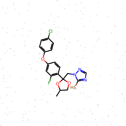 CC1COC(Cn2ncnc2S)(c2ccc(Oc3ccc(Cl)cc3)cc2F)O1